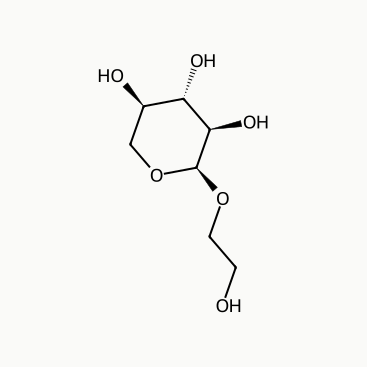 OCCO[C@H]1OC[C@@H](O)[C@H](O)[C@H]1O